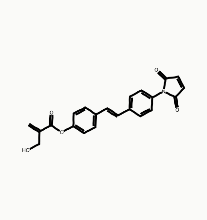 C=C(CO)C(=O)Oc1ccc(/C=C/c2ccc(N3C(=O)C=CC3=O)cc2)cc1